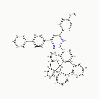 Cc1ccc(-c2cc(-c3ccc(-c4ccccc4)cc3)nc(-c3ccc4c(c3)C3(c5ccccc5-c5ccccc5-4)c4ccccc4-c4ccccc43)n2)cc1